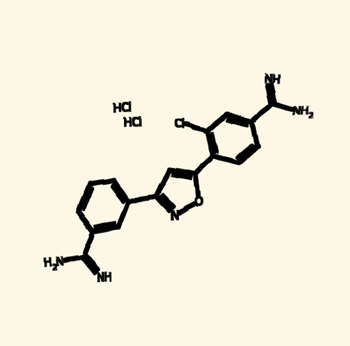 Cl.Cl.N=C(N)c1cccc(-c2cc(-c3ccc(C(=N)N)cc3Cl)on2)c1